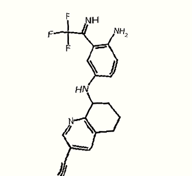 N#Cc1cnc2c(c1)CCCC2Nc1ccc(N)c(C(=N)C(F)(F)F)c1